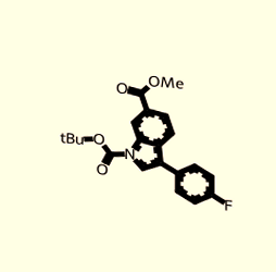 COC(=O)c1ccc2c(-c3ccc(F)cc3)cn(C(=O)OC(C)(C)C)c2c1